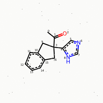 CC(=O)C1(c2cnc[nH]2)Cc2ccccc2C1